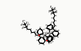 FC(F)(F)C(F)(F)CCCCCCc1ccccc1[Si](O[Si](c1ccccc1)(c1ccccc1)c1ccccc1CCCCCCC(F)(F)C(F)(F)F)(c1ccccc1)c1ccccc1